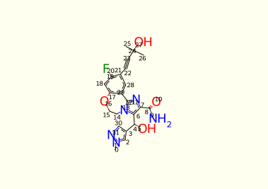 Cn1cc(C(O)c2c(C(N)=O)nc3n2CCOc2cc(F)c(C#CC(C)(C)O)cc2-3)cn1